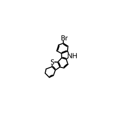 Brc1ccc2c(c1)[nH]c1ccc3c4c(sc3c12)CCC=C4